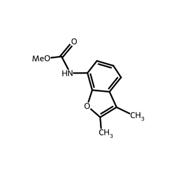 COC(=O)Nc1cccc2c(C)c(C)oc12